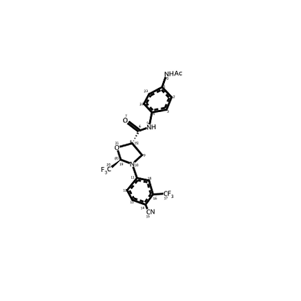 CC(=O)Nc1ccc(NC(=O)[C@@H]2CN(c3ccc(C#N)c(C(F)(F)F)c3)[C@@H](C(F)(F)F)O2)cc1